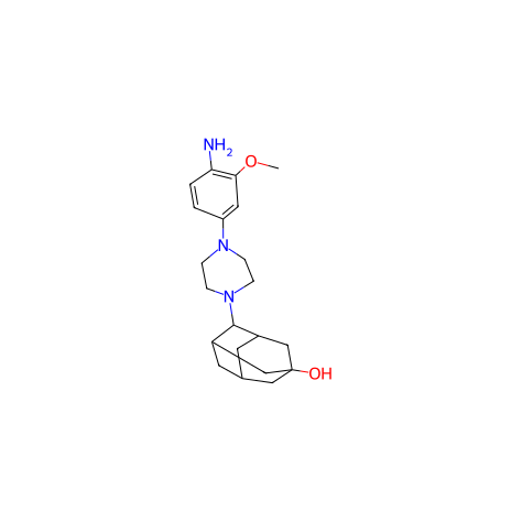 COc1cc(N2CCN(C3C4CC5CC3CC(O)(C5)C4)CC2)ccc1N